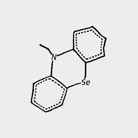 CN1c2ccccc2[Se]c2ccccc21